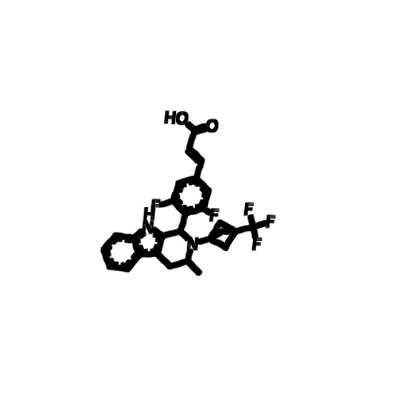 CC1Cc2c([nH]c3ccccc23)C(c2c(F)cc(/C=C/C(=O)O)cc2F)N1C12CC(C(F)(F)F)(C1)C2